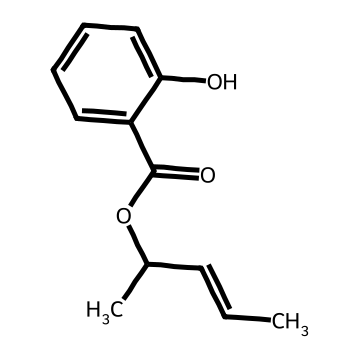 C/C=C/C(C)OC(=O)c1ccccc1O